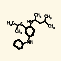 CC(C)CC(C)Nc1ccc(Nc2ccccc2)cc1SC(C)C